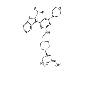 C/C(=C\O)CN(CC(C)C)[C@H]1CC[C@H](CNc2nc(N3CCOCC3)cc(-n3c(C(F)F)nc4ccccc43)n2)CC1